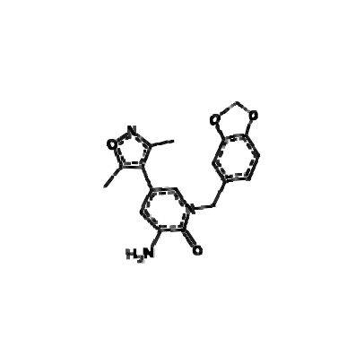 Cc1noc(C)c1-c1cc(N)c(=O)n(Cc2ccc3c(c2)OCO3)c1